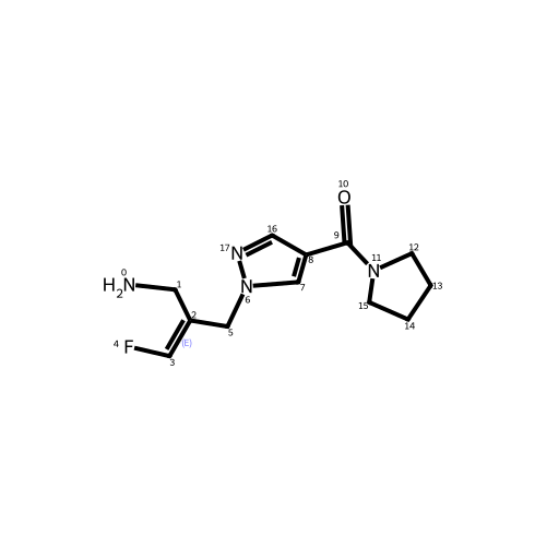 NC/C(=C\F)Cn1cc(C(=O)N2CCCC2)cn1